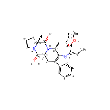 CC(C)=C[C@H]1c2c(c3ccccc3n2C(CC(C)C)OOC(C)(C)C)C[C@H]2C(=O)N3CCC[C@@H]3C(=O)N21